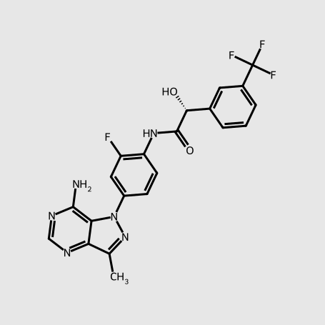 Cc1nn(-c2ccc(NC(=O)[C@H](O)c3cccc(C(F)(F)F)c3)c(F)c2)c2c(N)ncnc12